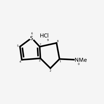 CNC1Cc2ccsc2C1.Cl